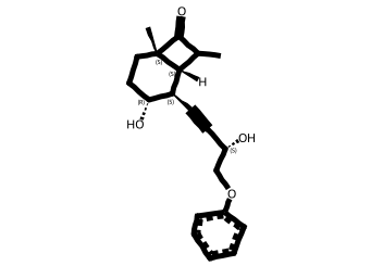 CC1C(=O)[C@@]2(C)CC[C@@H](O)[C@H](C#C[C@H](O)COc3ccccc3)[C@@H]12